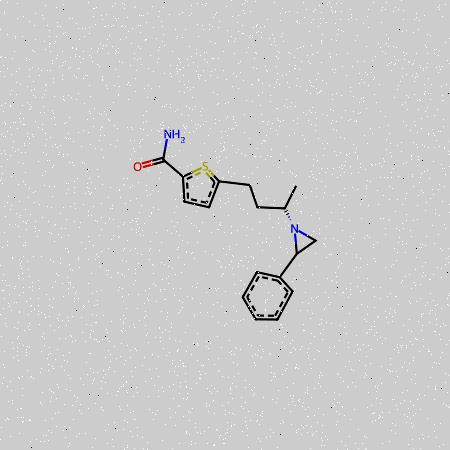 CC(CCc1ccc(C(N)=O)s1)[N@]1CC1c1ccccc1